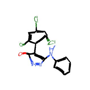 O=C1N=NC(Nc2ccccc2)=C1c1c(Cl)cc(Cl)cc1Cl